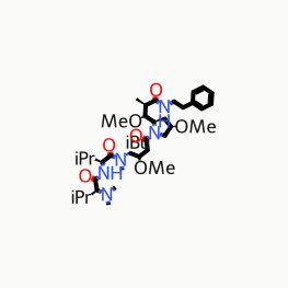 CC[C@H](C)[C@@H]([C@@H](CC(=O)N1C[C@@H](OC)C[C@@H]1[C@H](OC)[C@@H](C)C(=O)NCCc1ccccc1)OC)N(C)C(=O)[C@@H](NC(=O)[C@H](C(C)C)N(C)C)C(C)C